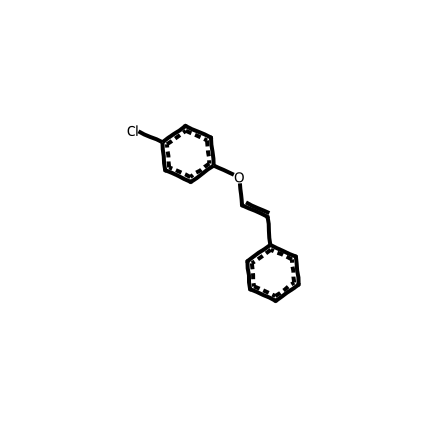 Clc1ccc(OC=Cc2ccccc2)cc1